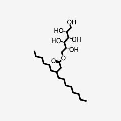 CCCCCCCCC(CCCCCC)CC(=O)OC[C@@H](O)[C@@H](O)[C@H](O)[C@H](O)CO